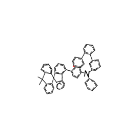 CC1(C)c2ccccc2C2(c3ccccc3-c3c(-c4ccc(N(c5ccccc5)c5cccc(-c6ccccc6-c6ccccc6)c5)cc4)cccc32)c2ccccc21